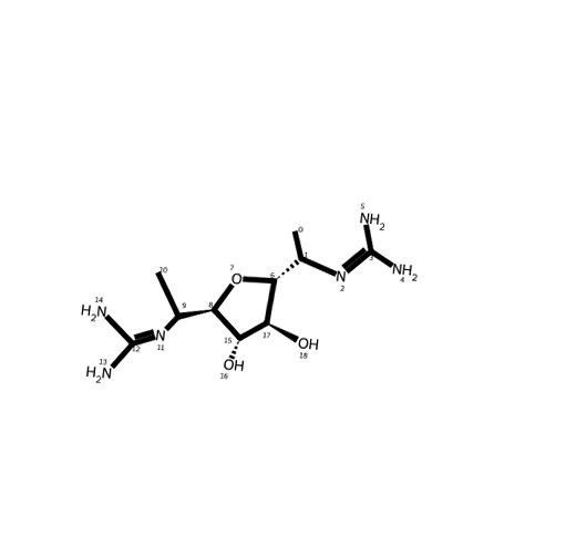 CC(N=C(N)N)[C@H]1O[C@H](C(C)N=C(N)N)[C@@H](O)[C@@H]1O